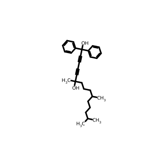 CC(C)CCCC(C)CCCC(C)(O)C#CC#CC(O)(c1ccccc1)c1ccccc1